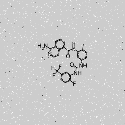 Cc1ccc(NC(=O)Nc2cc(C(F)(F)F)ccc2F)cc1NC(=O)c1cccc2c(N)nccc12